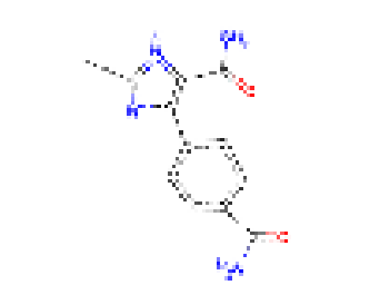 Cc1nc(-c2ccc(C(N)=O)cc2)c(C(N)=O)[nH]1